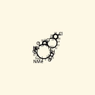 CN[C@@H]1CC(=O)[C@@H]2CC[C@H]2CN2CCCCc3cc(Cl)ccc3COc3ccc(cc32)C(=O)NS(=O)(=O)[C@H](C)[C@@H](C)C1